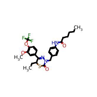 CCCCCC(=O)Nc1ccc(CN2N=C(c3ccc(OC(F)(F)F)c(OC)c3)C(CC)SC2=O)cc1